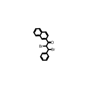 O=C(c1ccc2ccccc2c1)C(Br)C(Br)c1ccccc1